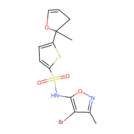 Cc1noc(NS(=O)(=O)c2ccc(C3(C)CC=CO3)s2)c1Br